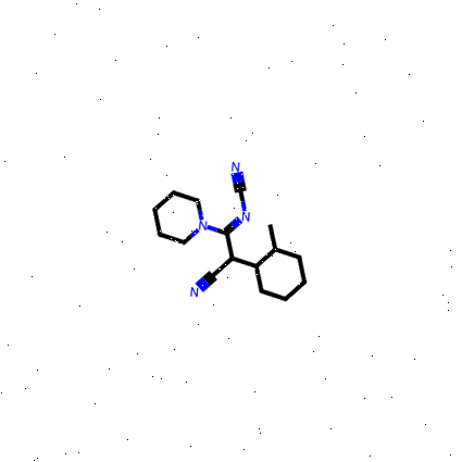 CC1CCCCC1C(C#N)C(=NC#N)N1CCCCC1